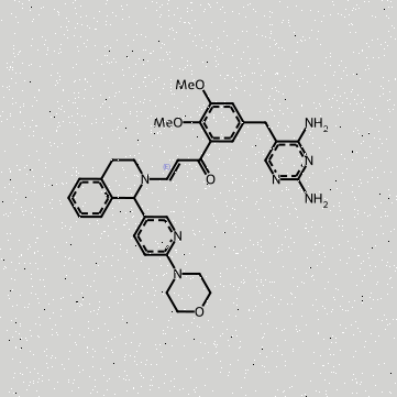 COc1cc(Cc2cnc(N)nc2N)cc(C(=O)/C=C/N2CCc3ccccc3C2c2ccc(N3CCOCC3)nc2)c1OC